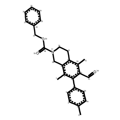 Cc1ccc(-c2c(C)c3c(c(C)c2C=O)CCN(C(=O)OCc2ccccc2)C3)cc1